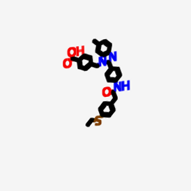 CCSc1ccc(CC(=O)Nc2ccc(-c3nc4ccc(C)cc4n3Cc3ccc(C(=O)O)cc3)cc2)cc1